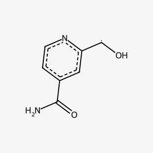 NC(=O)c1ccnc([CH]O)c1